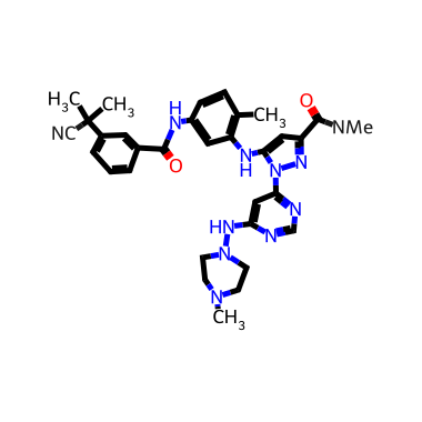 CNC(=O)c1cc(Nc2cc(NC(=O)c3cccc(C(C)(C)C#N)c3)ccc2C)n(-c2cc(NN3CCN(C)CC3)ncn2)n1